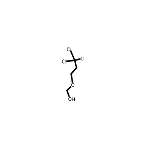 OCOCCC(Cl)(Cl)Cl